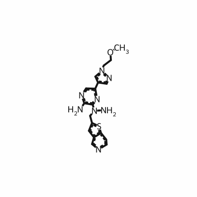 COCCn1cc(-c2cnc(N)c(N(N)Cc3cc4cnccc4s3)n2)cn1